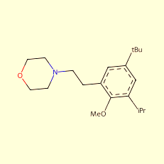 COc1c(CCN2CCOCC2)cc(C(C)(C)C)cc1C(C)C